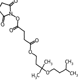 CC(C)CCOC(C)(C)CCOC(=O)CCC(=O)ON1C(=O)CCC1=O